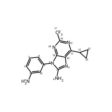 Nc1cccc(-n2c(N)nc3c(C4CC4)nc(C(F)(F)F)nc32)c1